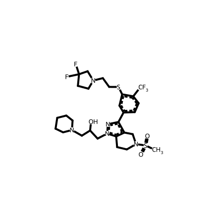 CS(=O)(=O)N1CCc2c(c(-c3ccc(C(F)(F)F)c(SCCN4CCC(F)(F)C4)c3)nn2CC(O)CN2CCCCC2)C1